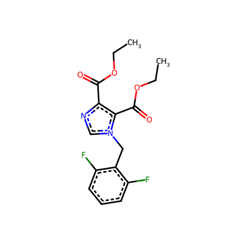 CCOC(=O)c1ncn(Cc2c(F)cccc2F)c1C(=O)OCC